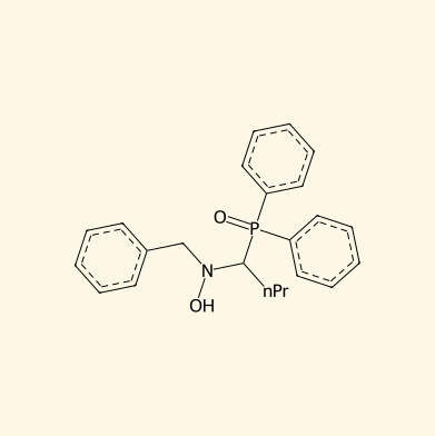 CCCC(N(O)Cc1ccccc1)P(=O)(c1ccccc1)c1ccccc1